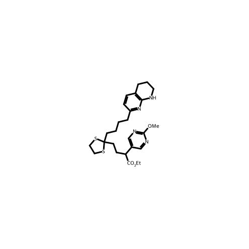 CCOC(=O)C(CCC1(CCCCc2ccc3c(n2)NCCC3)SCCS1)c1cnc(OC)nc1